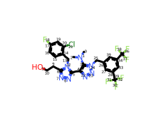 CN(C)c1c(-c2nnc(CCO)n2Cc2ccc(F)cc2Cl)nnn1Cc1cc(C(F)(F)F)cc(C(F)(F)F)c1